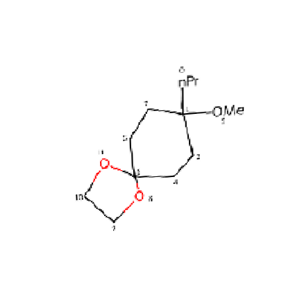 CCCC1(OC)CCC2(CC1)OCCO2